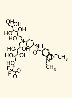 CCn1c[n+](CC)c2ccc(C(=O)NC3CCC(N(C[C@H](O)[C@@H](O)[C@H](O)[C@H](O)CO)C[C@H](O)[C@@H](O)[C@H](O)[C@H](O)CO)CC3)cc21.O=C([O-])C(F)(F)F